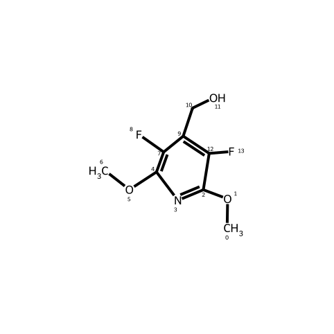 COc1nc(OC)c(F)c(CO)c1F